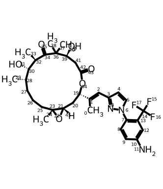 C/C(=C\c1ccn(-c2ccc(N)cc2C(F)(F)F)n1)[C@@H]1C[C@@H]2O[C@]2(C)CCC[C@H](C)[C@H](O)[C@@H](C)C(=O)C(C)(C)[C@@H](O)CC(=O)O1